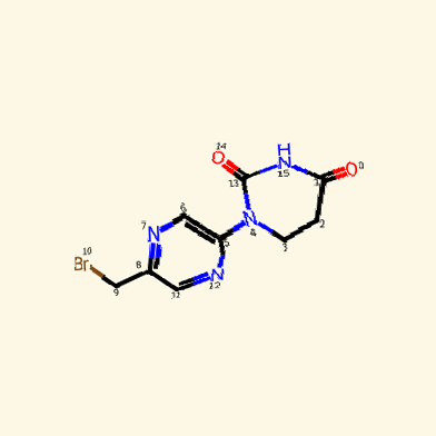 O=C1CCN(c2cnc(CBr)cn2)C(=O)N1